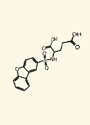 O=C(O)CCC(NS(=O)(=O)c1ccc2oc3ccccc3c2c1)C(=O)O